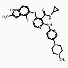 Cc1cc2c(F)c(Oc3ncnc(Nc4ccc(N5CCN(C)CC5)cn4)c3C(=O)NC3CC3)ccc2[nH]1